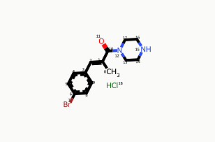 C/C(=C\c1ccc(Br)cc1)C(=O)N1CCNCC1.Cl